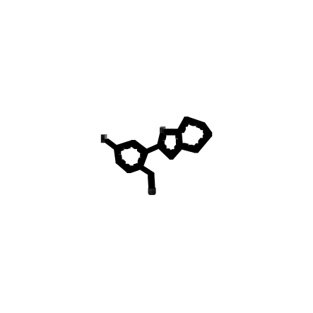 O=Cc1ccc(F)cc1-c1cc2ccccc2s1